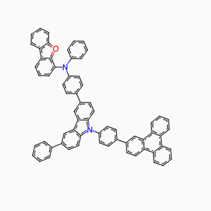 c1ccc(-c2ccc3c(c2)c2cc(-c4ccc(N(c5ccccc5)c5cccc6c5oc5ccccc56)cc4)ccc2n3-c2ccc(-c3ccc4c5ccccc5c5ccccc5c4c3)cc2)cc1